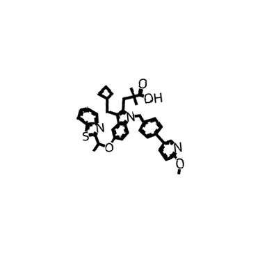 COc1ccc(-c2ccc(Cn3c(CC(C)(C)C(=O)O)c(CC4CCC4)c4cc(OC(C)c5nc6ccccc6s5)ccc43)cc2)cn1